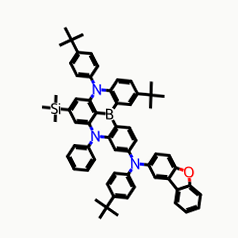 CC(C)(C)c1ccc(N(c2ccc3c(c2)N(c2ccccc2)c2cc([Si](C)(C)C)cc4c2B3c2cc(C(C)(C)C)ccc2N4c2ccc(C(C)(C)C)cc2)c2ccc3oc4ccccc4c3c2)cc1